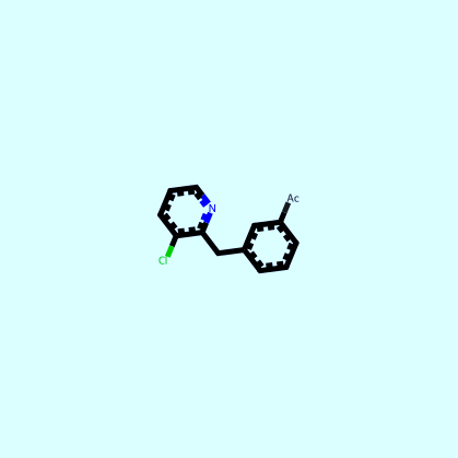 CC(=O)c1cccc(Cc2ncccc2Cl)c1